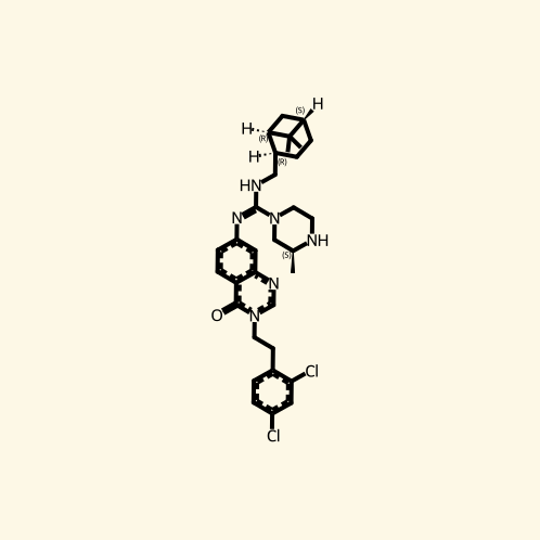 C[C@H]1CN(C(=Nc2ccc3c(=O)n(CCc4ccc(Cl)cc4Cl)cnc3c2)NC[C@@H]2CC[C@H]3C[C@H]2C3(C)C)CCN1